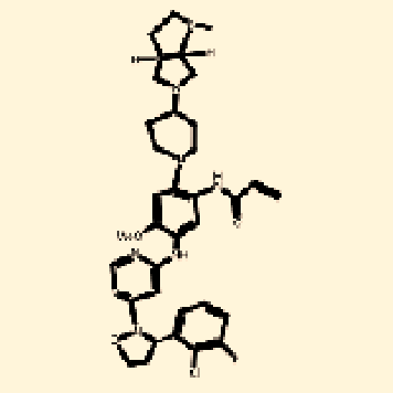 C=CC(=O)Nc1cc(Nc2cc(N3OCC[C@@H]3c3cccc(F)c3Cl)ncn2)c(OC)cc1N1CCC(N2C[C@@H]3CCN(C)[C@@H]3C2)CC1